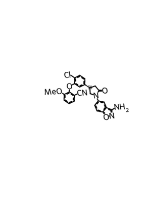 COc1cccc(C#N)c1Oc1cc([C@H]2CC(=O)N(c3ccc4onc(N)c4c3)C2)ccc1Cl